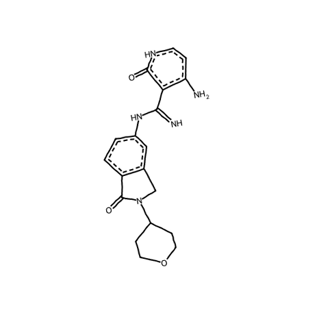 N=C(Nc1ccc2c(c1)CN(C1CCOCC1)C2=O)c1c(N)cc[nH]c1=O